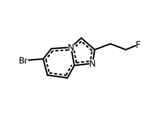 FCCc1cn2cc(Br)ccc2n1